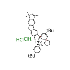 Cl.Cl.[CH2]=[Zr]([C]1=CC=CC1)([C]1=C(C)c2cc3c(cc2C1(C)C)Cc1cc2c(cc1-3)C(C)=CC2(C)C)([c]1ccc(C(C)(C)C)cc1)[c]1ccc(C(C)(C)C)cc1